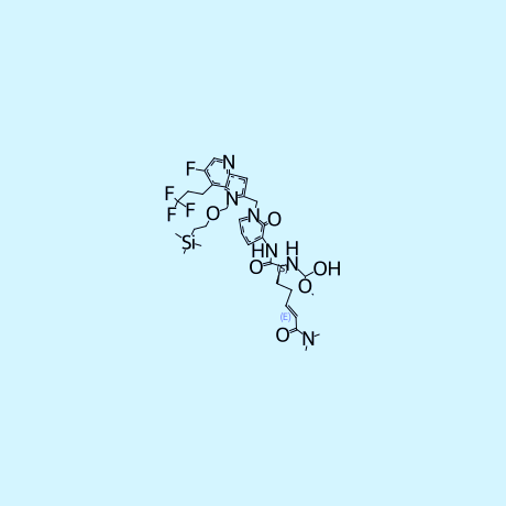 COC(O)N[C@@H](CC/C=C/C(=O)N(C)C)C(=O)Nc1cccn(Cc2cc3ncc(F)c(CCC(F)(F)F)c3n2COCC[Si](C)(C)C)c1=O